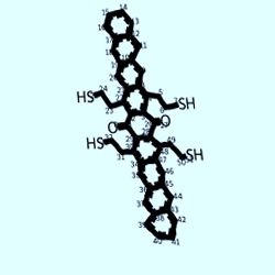 O=C1c2c(c(CCS)c3cc4cc5ccccc5cc4cc3c2CCS)C(=O)c2c1c(CCS)c1cc3cc4ccccc4cc3cc1c2CCS